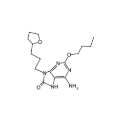 CCCCOc1nc(N)c2[nH]c(=O)n(CCCC3CCCO3)c2n1